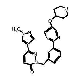 Cn1cc(-c2ccc(=O)n(Cc3cccc(-c4ncc(OC5CCOCC5)cn4)c3)n2)cn1